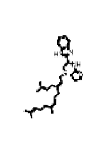 CC(C)=CCCC(C)=CCCC(=CCSCC(NC1=NCCC1)c1nc2ccccc2[nH]1)CC=C(C)C